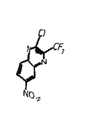 O=[N+]([O-])c1ccc2nc(Cl)c(C(F)(F)F)nc2c1